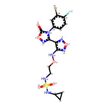 O=c1onc(-c2nonc2NOCCNS(=O)(=O)NC2CC2)n1-c1ccc(F)c(Br)c1